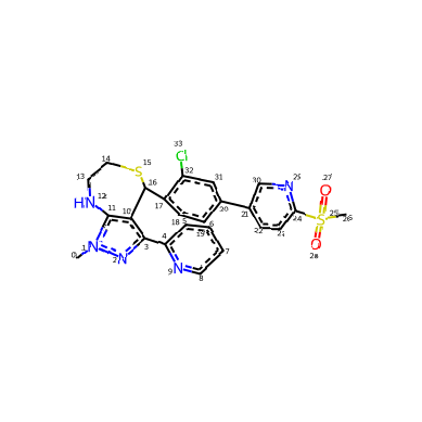 Cn1nc(-c2ccccn2)c2c1NCCSC2c1ccc(-c2ccc(S(C)(=O)=O)nc2)cc1Cl